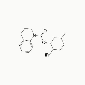 CC1CCC(C(C)C)C(OC(=O)N2CCCc3ccccc32)C1